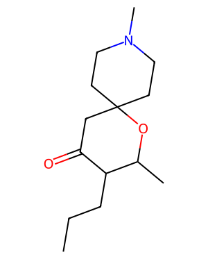 CCCC1C(=O)CC2(CCN(C)CC2)OC1C